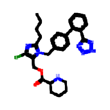 CCCCc1nc(Cl)c(COC(=O)C2CCCCN2)n1Cc1ccc(-c2ccccc2-c2nn[nH]n2)cc1